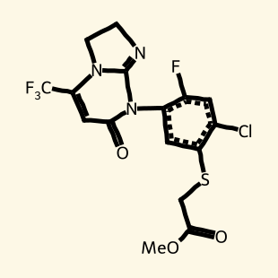 COC(=O)CSc1cc(N2C(=O)C=C(C(F)(F)F)N3CCN=C32)c(F)cc1Cl